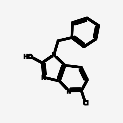 Oc1nc2nc(Cl)ccc2n1Cc1ccccc1